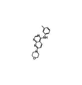 Cc1cccc(Nc2ncnc3nc(N4CCOCC4)ccc23)c1